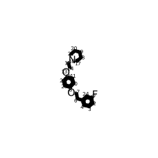 Fc1cccc(CCOc2ccc(OCCN3CCCCC3)cc2)c1